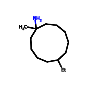 CCC1CCCCCC(C)(N)CCCC1